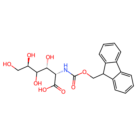 O=C(N[C@H](C(=O)O)[C@@H](O)C(O)[C@H](O)CO)OCC1c2ccccc2-c2ccccc21